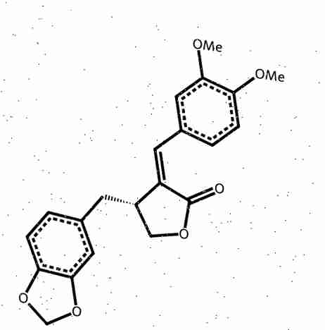 COc1ccc(/C=C2\C(=O)OC[C@@H]2Cc2ccc3c(c2)OCO3)cc1OC